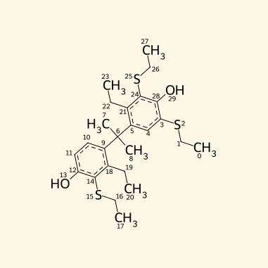 CCSc1cc(C(C)(C)c2ccc(O)c(SCC)c2CC)c(CC)c(SCC)c1O